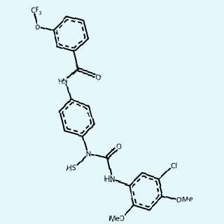 COc1cc(OC)c(NC(=O)N(S)c2ccc(NC(=O)c3cccc(OC(F)(F)F)c3)cc2)cc1Cl